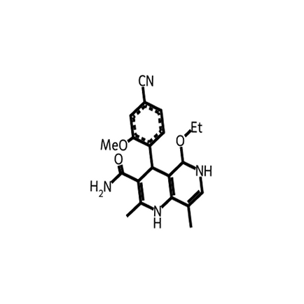 CCOC1NC=C(C)C2=C1C(c1ccc(C#N)cc1OC)C(C(N)=O)=C(C)N2